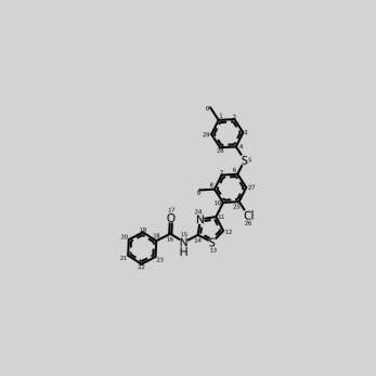 Cc1ccc(Sc2cc(C)c(-c3csc(NC(=O)c4ccccc4)n3)c(Cl)c2)cc1